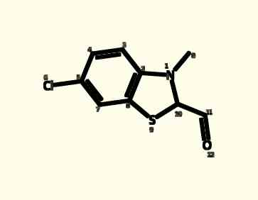 CN1c2ccc(Cl)cc2SC1C=O